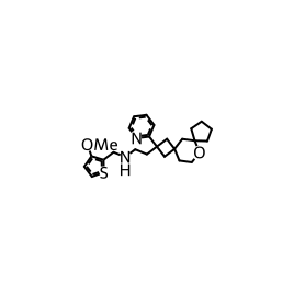 COc1ccsc1CNCCC1(c2ccccn2)CC2(CCOC3(CCCC3)C2)C1